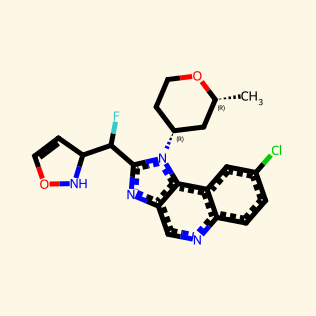 C[C@@H]1C[C@H](n2c(C(F)C3C=CON3)nc3cnc4ccc(Cl)cc4c32)CCO1